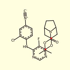 [C-]#[N+]c1ccc(Nc2ncnc(OC3CC4CCC(C3)N4C(=O)OC(C)C)c2F)c(Cl)c1